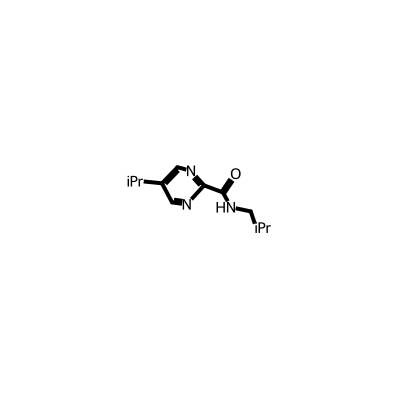 CC(C)CNC(=O)c1ncc(C(C)C)cn1